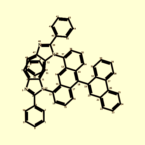 c1ccc(-c2nc3ccccc3n2-c2cccc3c(-c4cc5ccccc5c5ccccc45)c4cccc(-n5c(-c6ccccc6)nc6ccccc65)c4cc23)cc1